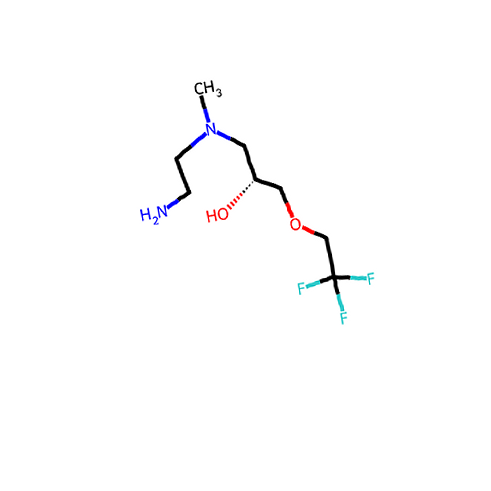 CN(CCN)C[C@@H](O)COCC(F)(F)F